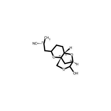 C[C@@H](C#N)CC1CC[C@@H]2O[C@@H]3C[C@]2(COC3O)O1